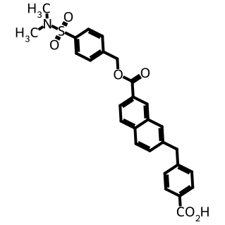 CN(C)S(=O)(=O)c1ccc(COC(=O)c2ccc3ccc(Cc4ccc(C(=O)O)cc4)cc3c2)cc1